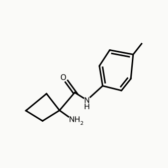 Cc1ccc(NC(=O)C2(N)CCC2)cc1